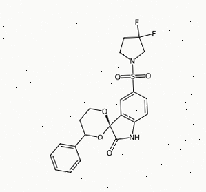 O=C1Nc2ccc(S(=O)(=O)N3CCC(F)(F)C3)cc2[C@]12OCCC(c1ccccc1)O2